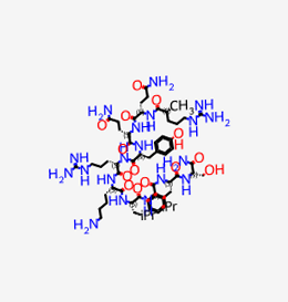 CC(C)C[C@H](NC(=O)[C@H](CC(C)C)NC(=O)[C@H](CCCCN)NC(=O)[C@H](CCCNC(=N)N)NC(=O)[C@H](Cc1ccc(O)cc1)NC(=O)[C@H](CCC(N)=O)NC(=O)[C@H](CCC(N)=O)NC(=O)[C@@H](C)CCCNC(=N)N)C(=O)N[C@@H](Cc1ccccc1)C(=O)N[C@@H](CO)C(N)=O